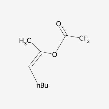 CCCC/C=C(/C)OC(=O)C(F)(F)F